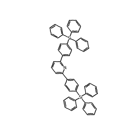 c1ccc([Si](c2ccccc2)(c2ccccc2)c2ccc(-c3cccc(-c4ccc([Si](c5ccccc5)(c5ccccc5)c5ccccc5)cc4)n3)cc2)cc1